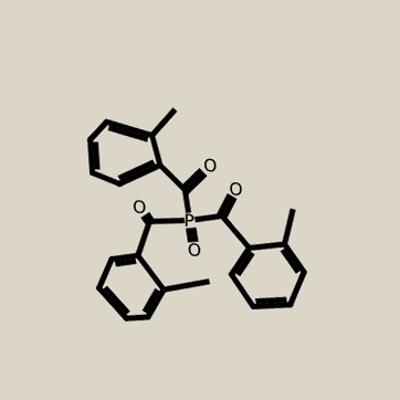 Cc1ccccc1C(=O)P(=O)(C(=O)c1ccccc1C)C(=O)c1ccccc1C